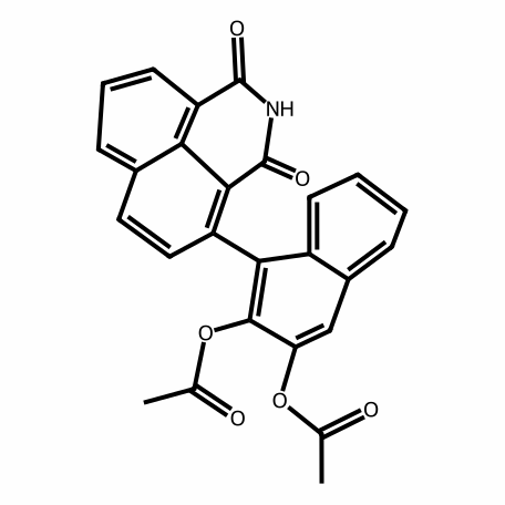 CC(=O)Oc1cc2ccccc2c(-c2ccc3cccc4c3c2C(=O)NC4=O)c1OC(C)=O